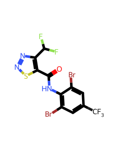 O=C(Nc1c(Br)cc(C(F)(F)F)cc1Br)c1snnc1C(F)F